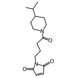 CC(C)C1CCN(C(=O)CCCN2C(=O)C=CC2=O)CC1